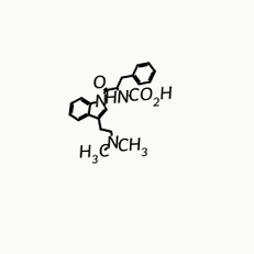 CN(C)CCc1cn(C(=O)C(Cc2ccccc2)NC(=O)O)c2ccccc12